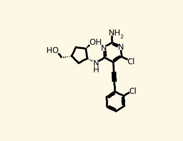 Nc1nc(Cl)c(C#Cc2ccccc2Cl)c(N[C@@H]2C[C@H](CO)C[C@H]2O)n1